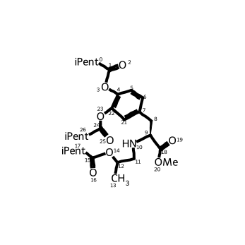 CCCC(C)C(=O)Oc1ccc(C[C@H](NCC(C)OC(=O)C(C)CCC)C(=O)OC)cc1OC(=O)C(C)CCC